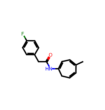 CC1=CC=C(NC(=O)Cc2ccc(F)cc2)CC=C1